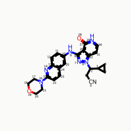 N#CCC(C1CC1)n1nc(Nc2ccc3nc(N4CCOCC4)ccc3c2)c2c(=O)[nH]ccc21